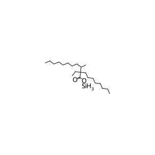 CCCCCCCCC(C)C(CC)(CCCCCCCC)C(=O)O[SiH3]